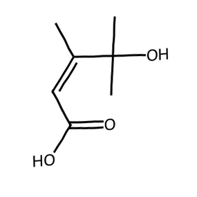 CC(=CC(=O)O)C(C)(C)O